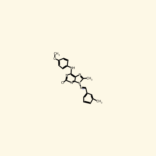 COc1ccc(Nc2nc(Cl)nc3c2nc(C)n3/N=C/c2cccc(C)c2)cc1